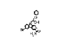 NC(=O)c1cc2c3cc(Br)ccc3n(CC(O)COc3ccccc3)c2cn1